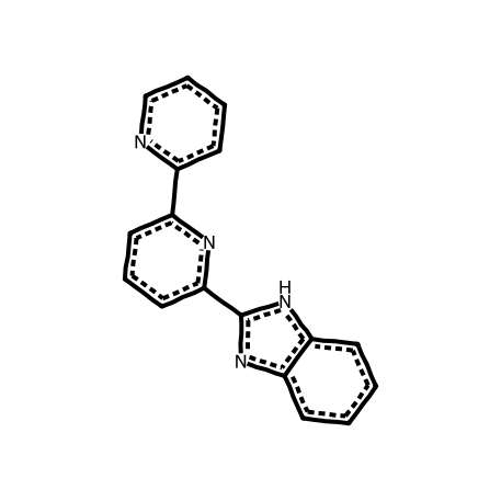 c1ccc(-c2cccc(-c3nc4ccccc4[nH]3)n2)nc1